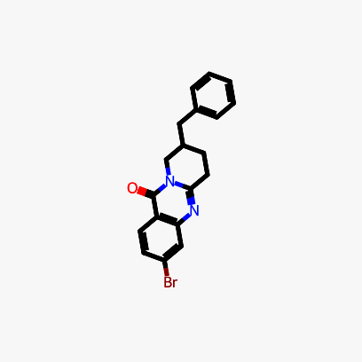 O=c1c2ccc(Br)cc2nc2n1CC(Cc1ccccc1)CC2